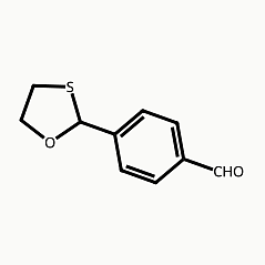 O=Cc1ccc(C2OCCS2)cc1